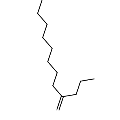 [CH]=C(CCC)CCCCCCCC